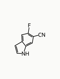 N#Cc1cc2[nH]ccc2cc1F